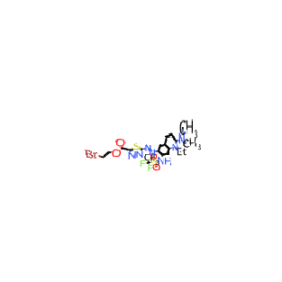 CCN1c2cc(NS(=O)(=O)C(F)(F)C(F)(F)F)c(N=Nc3nnc(C(=O)OCCBr)s3)cc2CCC1N(C)C